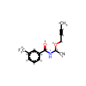 CC#CCOC(C#N)NC(=O)c1cccc(C(F)(F)F)c1